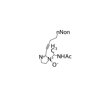 CCCCCCCCCCCC#CC1=NCC[N+]1([O-])C(C)NC(C)=O